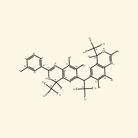 CC1=Nc2c(cc(C(c3cc4c(c(C)c3C)N=C(c3cccc(C)c3)OC4(C)C(F)(F)F)C(F)(F)F)c(C)c2C)C(C)(C(F)(F)F)O1